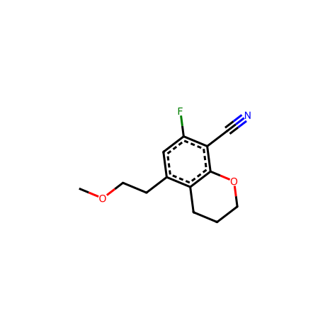 COCCc1cc(F)c(C#N)c2c1CCCO2